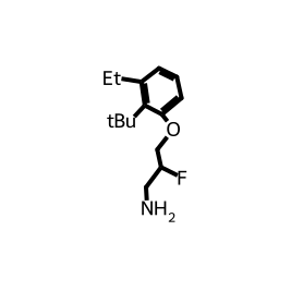 CCc1cccc(OCC(F)CN)c1C(C)(C)C